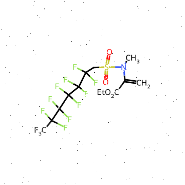 C=C(C(=O)OCC)N(C)S(=O)(=O)CC(F)(F)C(F)(F)C(F)(F)C(F)(F)C(F)(F)C(F)(F)F